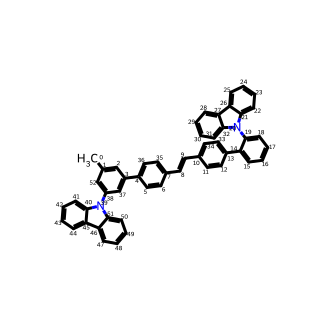 Cc1cc(-c2ccc(/C=C/c3ccc(-c4ccccc4-n4c5ccccc5c5ccccc54)cc3)cc2)cc(-n2c3ccccc3c3ccccc32)c1